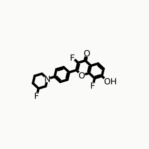 O=c1c(F)c(-c2ccc(N3CCCC(F)C3)cc2)oc2c(F)c(O)ccc12